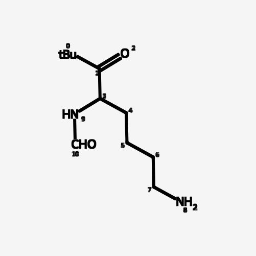 CC(C)(C)C(=O)C(CCCCN)NC=O